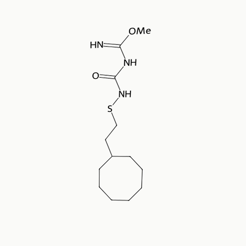 COC(=N)NC(=O)NSCCC1CCCCCCC1